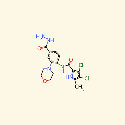 Cc1[nH]c(C(=O)Nc2ccc(C(=O)NN)cc2N2CCOCC2)c(Cl)c1Cl